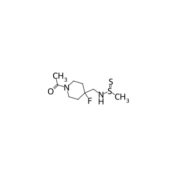 CC(=O)N1CCC(F)(CNS(C)=S)CC1